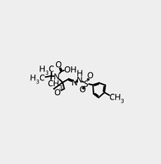 Cc1ccc(S(=O)(=O)N/N=C/C2(N(C(=O)O)C(C)(C)C)COC2)cc1